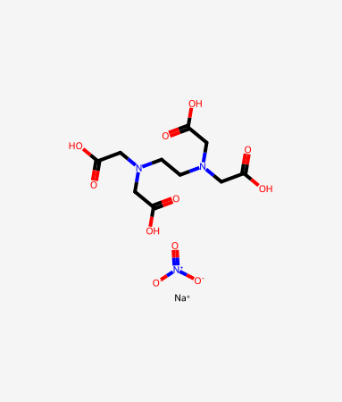 O=C(O)CN(CCN(CC(=O)O)CC(=O)O)CC(=O)O.O=[N+]([O-])[O-].[Na+]